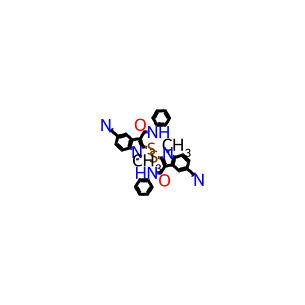 Cn1c(SSc2c(C(=O)Nc3ccccc3)c3cc(C#N)ccc3n2C)c(C(=O)Nc2ccccc2)c2cc(C#N)ccc21